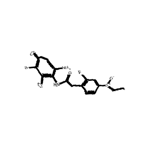 CC[S+]([O-])c1ccc(CC(=O)Nc2c(N)cc(Cl)c(Br)c2Cl)c(F)c1